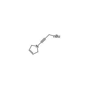 CCCCCC#CN1CC=CC1